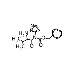 CC(C)C(N)C(=O)N(C(=O)OCc1ccccc1)c1nncs1